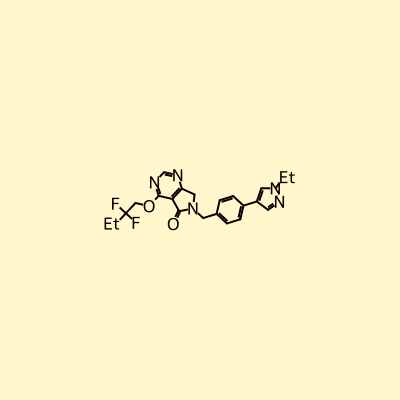 CCn1cc(-c2ccc(CN3Cc4ncnc(OCC(F)(F)CC)c4C3=O)cc2)cn1